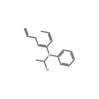 C=CC/C=C(\C=C/C)N(c1ccccc1)C(C)Br